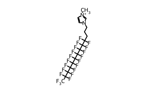 C[n+]1ccn(CCCC(F)(F)C(F)(F)C(F)(F)C(F)(F)C(F)(F)C(F)(F)C(F)(F)C(F)(F)C(F)(F)C(F)(F)F)c1